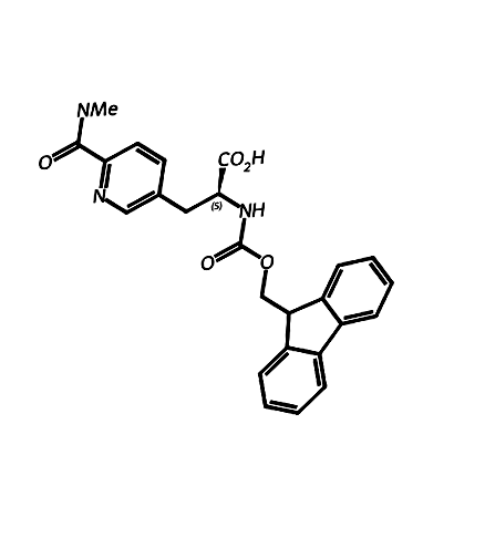 CNC(=O)c1ccc(C[C@H](NC(=O)OCC2c3ccccc3-c3ccccc32)C(=O)O)cn1